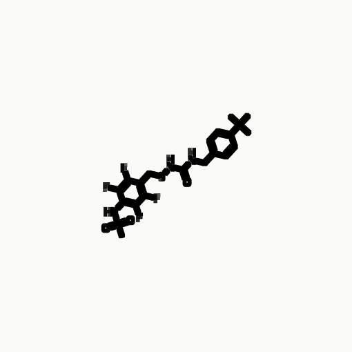 CC(C)(C)c1ccc(CNC(=O)NSCc2c(F)c(F)c(NS(C)(=O)=O)c(F)c2F)cc1